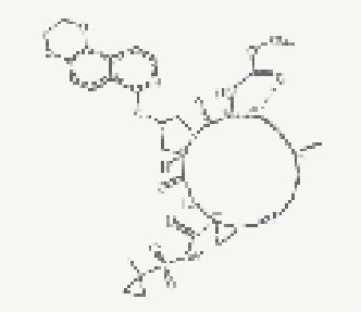 C[C@H]1CC/C=C\C2C[C@@]2(C(=O)NS(=O)(=O)C2(C)CC2)NC(=O)[C@@H]2CC(Oc3nccc4c5c(ccc34)OCCO5)CN2C(=O)[C@@H](NC(=O)OC(C)(C)C)[C@H](C)C1